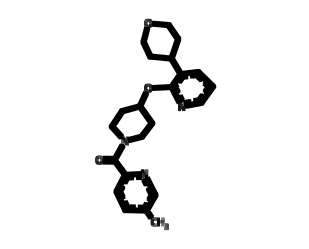 Cc1ccc(C(=O)N2CCC(Oc3ncccc3C3CCOCC3)CC2)nc1